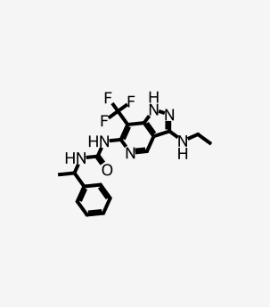 CCNc1n[nH]c2c(C(F)(F)F)c(NC(=O)NC(C)c3ccccc3)ncc12